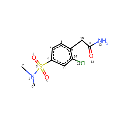 CN(C)S(=O)(=O)c1ccc(CC(N)=O)c(Cl)c1